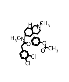 CC(=O)Oc1cccc([C@@]23CCN(C)C[C@H]2CC[C@@H](N(C)C(=O)Cc2ccc(Cl)c(Cl)c2)C3)c1